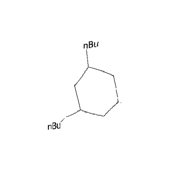 CCCCC1C[CH]CC(CCCC)C1